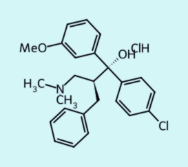 COc1cccc([C@@](O)(c2ccc(Cl)cc2)[C@@H](Cc2ccccc2)CN(C)C)c1.Cl